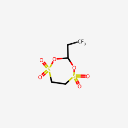 O=S1(=O)CCS(=O)(=O)OC(CC(F)(F)F)O1